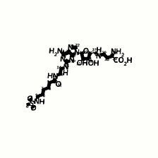 CS(=O)(=O)NCCCCCC(=O)NCCNc1nc(N)c2ncn([C@@H]3O[C@H](CNCC[C@H](N)C(=O)O)[C@@H](O)[C@H]3O)c2n1